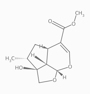 COC(=O)C1=CO[C@@H]2OC[C@@]3(O)[C@@H]2[C@@H]1C[C@H]3C